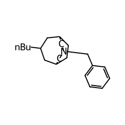 CCCCC1CC2CCC(C1)CN(Cc1ccccc1)C2